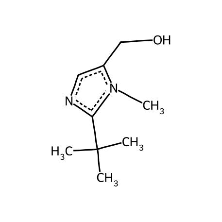 Cn1c(CO)cnc1C(C)(C)C